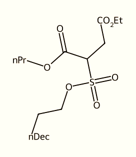 CCCCCCCCCCCCOS(=O)(=O)C(CC(=O)OCC)C(=O)OCCC